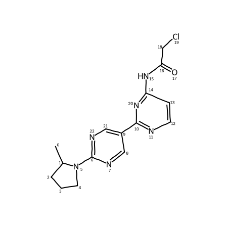 CC1CCCN1c1ncc(-c2nccc(NC(=O)CCl)n2)cn1